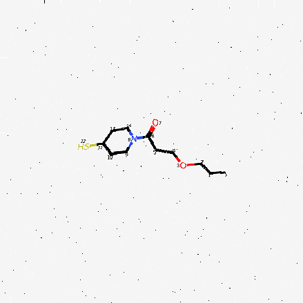 CCCOCCC(=O)N1CCC(S)CC1